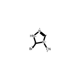 N#CN1C=NNC1Br